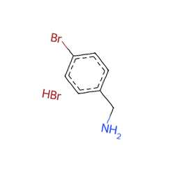 Br.NCc1ccc(Br)cc1